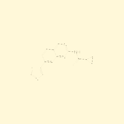 O=C(Nc1ncc2ccc(-c3cnco3)cc2n1)C1CC1